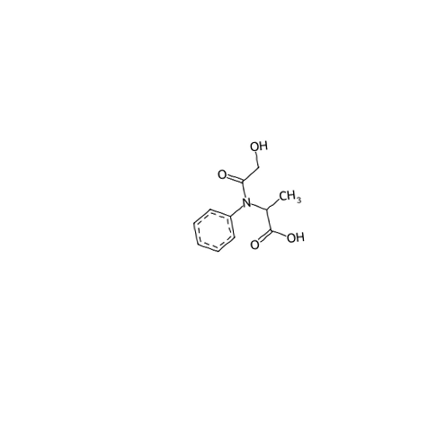 CC(C(=O)O)N(C(=O)CO)c1ccccc1